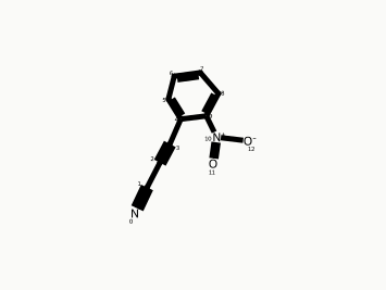 N#CC#Cc1ccccc1[N+](=O)[O-]